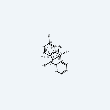 O[C@@H]1[C@@H]2c3ccccc3[C@@H](c3cc(Cl)ccc32)[C@@H]1O